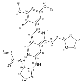 C=CC(=O)N[C@H]1COC[C@H]1Nc1cc2c(NCC3CCCO3)nc(-c3cc(OC)cc(OC)c3F)cc2cn1